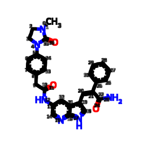 CN1CCN(c2ccc(CC(=O)Nc3cnc4[nH]cc(C=C(C(N)=O)c5ccccc5)c4c3)cc2)C1=O